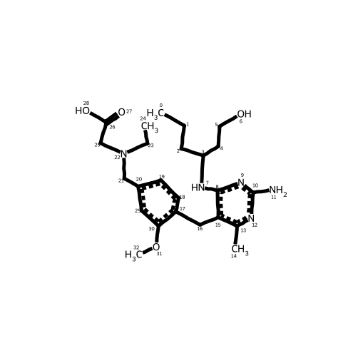 CCCC(CCO)Nc1nc(N)nc(C)c1Cc1ccc(CN(CC)CC(=O)O)cc1OC